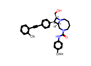 COc1ccc(NC(=O)N2CCCCN3[C@H](CO)[C@H](c4ccc(C#Cc5ccccc5C#N)cc4)[C@@H]3C2)cc1